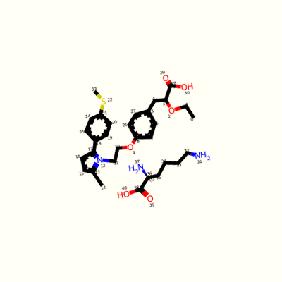 CCOC(Cc1ccc(OCCn2c(C)ccc2-c2ccc(SC)cc2)cc1)C(=O)O.NCCCC[C@H](N)C(=O)O